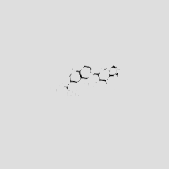 Cc1c(N2CCc3ncc(C(C)C)cc3C2)nn2cnnc2c1C